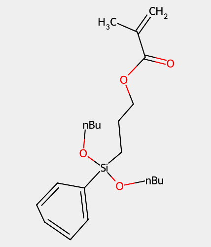 C=C(C)C(=O)OCCC[Si](OCCCC)(OCCCC)c1ccccc1